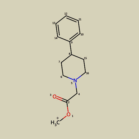 COC(=O)CN1CCC(c2ccccc2)CC1